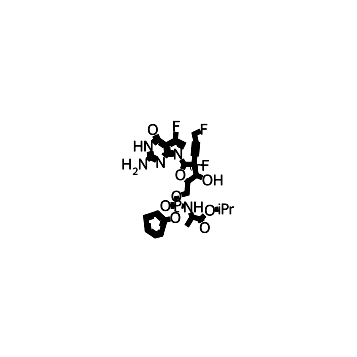 CC(C)OC(=O)C(C)NP(=O)(OCC1OC(n2cc(F)c3c(=O)[nH]c(N)nc32)[C@@](F)(C#CCF)C1O)Oc1ccccc1